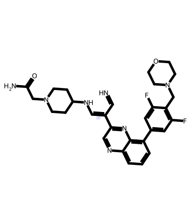 N=C/C(=C\NC1CCN(CC(N)=O)CC1)c1cnc2cccc(-c3cc(F)c(CN4CCOCC4)c(F)c3)c2n1